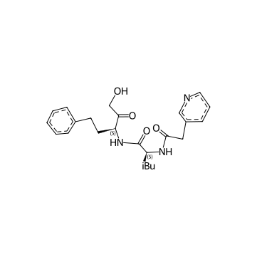 CCC(C)[C@H](NC(=O)Cc1cccnc1)C(=O)N[C@@H](CCc1ccccc1)C(=O)CO